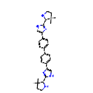 CC1(C)CCNC1c1nc(-c2ccc(-c3ccc(-c4c[nH]c(C5NCCC5(C)C)n4)cc3)cc2)c[nH]1